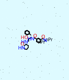 CCCN(CCC)C(=O)c1cccc(C(=O)N[C@@H](Cc2ccccc2)[C@H](O)CNC2CCCCNC2=O)c1